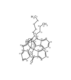 CCCCCCCCC1(C2(c3c(C)n(CCCC)c4ccccc34)OC(=O)c3ccccc32)C(C)=Nc2ccccc21